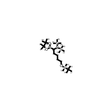 CC1(C)OB(C(CCCCO[Si](C)(C)C(C)(C)C)N([Si](C)(C)C)[Si](C)(C)C)OC1(C)C